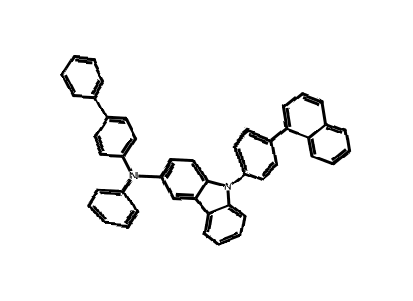 c1ccc(-c2ccc(N(c3ccccc3)c3ccc4c(c3)c3ccccc3n4-c3ccc(-c4cccc5ccccc45)cc3)cc2)cc1